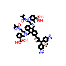 C=C(C)C(=O)NCCCN(Cc1ccccc1B(O)O)Cc1c2ccccc2c(CN(CCCNC(=O)C(=C)C)Cc2ccccc2B(O)O)c2cc(-c3cc(C4=C5C=CC(=[N+](C)C)C=C5S(C)(C)c5cc(N(C)C)ccc54)cs3)ccc12